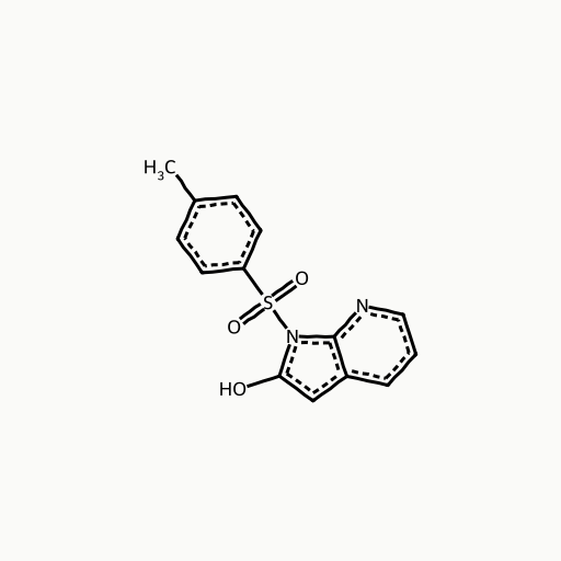 Cc1ccc(S(=O)(=O)n2c(O)cc3cccnc32)cc1